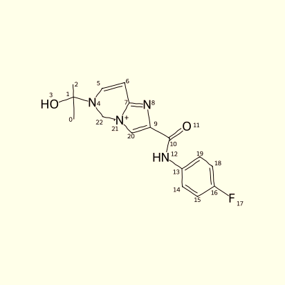 CC(C)(O)N1C=CC2=NC(C(=O)Nc3ccc(F)cc3)=C[N+]2C1